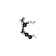 Cc1oc(-c2ccc(-c3cccc(C(F)(F)F)c3)cc2)nc1CCOc1ccc(CCC(=O)O)c(CNC(=O)OC(C)C)c1